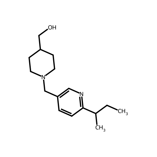 CCC(C)c1ccc(CN2CCC(CO)CC2)cn1